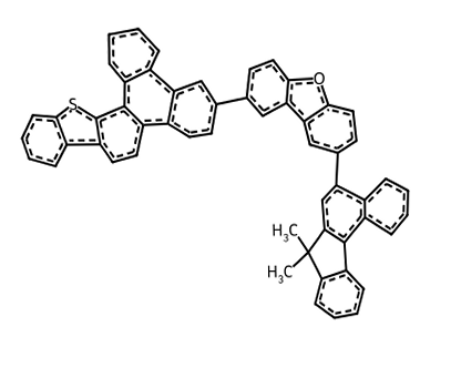 CC1(C)c2ccccc2-c2c1cc(-c1ccc3oc4ccc(-c5ccc6c(c5)c5ccccc5c5c6ccc6c7ccccc7sc65)cc4c3c1)c1ccccc21